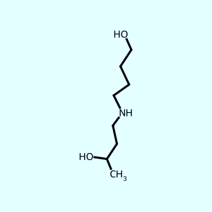 CC(O)CCNCCCCO